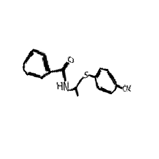 CC(NC(=O)c1ccccc1)Sc1ccc(C#N)cc1